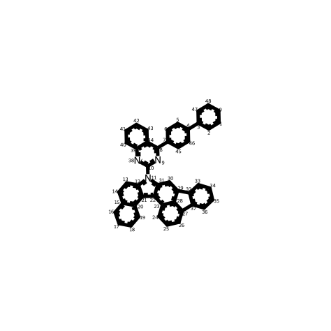 c1ccc(-c2ccc(-c3nc(-n4c5ccc6ccccc6c5c5c6cccc7c6c(cc54)-c4ccccc4-7)nc4ccccc34)cc2)cc1